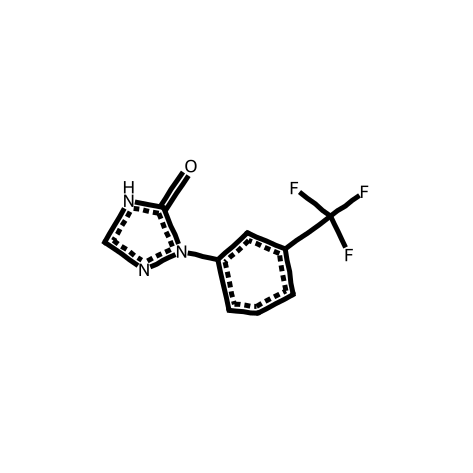 O=c1[nH]cnn1-c1cccc(C(F)(F)F)c1